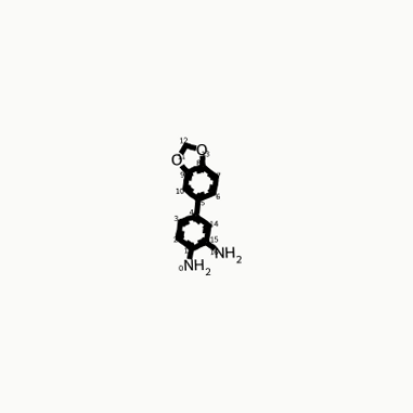 Nc1ccc(-c2ccc3c(c2)OCO3)cc1N